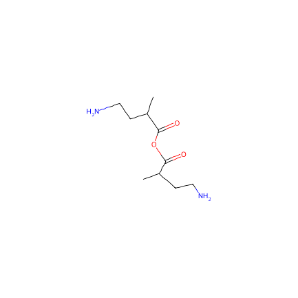 CC(CCN)C(=O)OC(=O)C(C)CCN